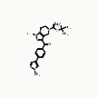 Cn1cc(-c2ccc(C(=O)c3nn(C)c4c3CN(C(=O)OC(C)(C)C)CC4)cc2)cn1